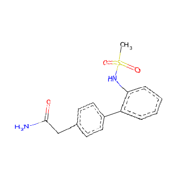 CS(=O)(=O)Nc1ccccc1-c1ccc(CC(N)=O)cc1